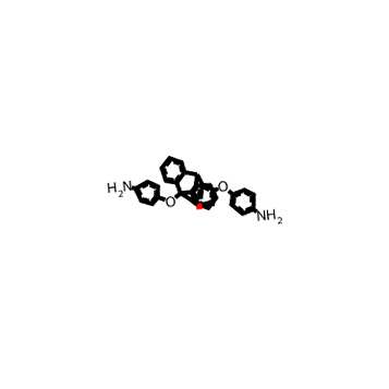 Nc1ccc(Oc2ccc3cc2C2c4ccccc4C3(Oc3ccc(N)cc3)c3ccccc32)cc1